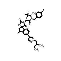 CCC(C)Cn1cc(-c2ccc3c(c2)C(F)CC32NC(=O)N(CC(=O)N(Cc3ccc(F)cc3)[C@@H](C)C(F)(F)F)C2=O)cn1